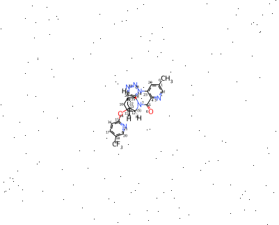 Cc1cnc(C(=O)N2C[C@@H]3CC[C@H]2[C@H](Oc2ccc(C(F)(F)F)cn2)C3)c(-n2ccnn2)c1